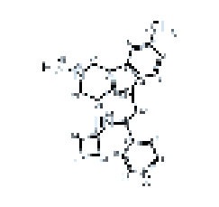 Cc1ccc2c(c1)c1c(n2CC(NC2CCC2)c2ccncc2)CCN(C)C1